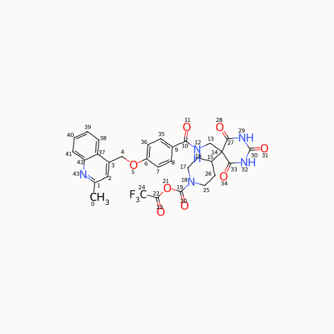 Cc1cc(COc2ccc(C(=O)NCC3(C4CCN(C(=O)OC(=O)C(F)(F)F)CC4)C(=O)NC(=O)NC3=O)cc2)c2ccccc2n1